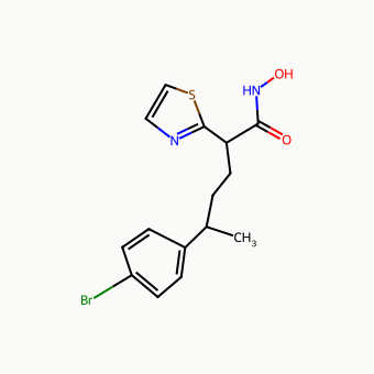 CC(CCC(C(=O)NO)c1nccs1)c1ccc(Br)cc1